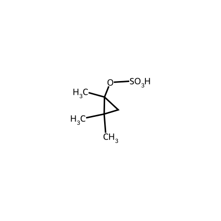 CC1(C)CC1(C)OS(=O)(=O)O